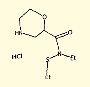 CCSN(CC)C(=O)C1CNCCO1.Cl